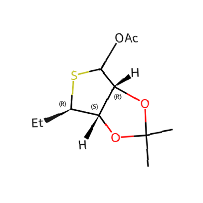 CC[C@H]1SC(OC(C)=O)[C@@H]2OC(C)(C)O[C@H]12